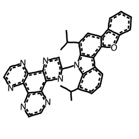 CC(C)c1cccc2c3c4oc5ccccc5c4cc(C(C)C)c3n(-c3cnc4c5nccnc5c5nccnc5c4n3)c12